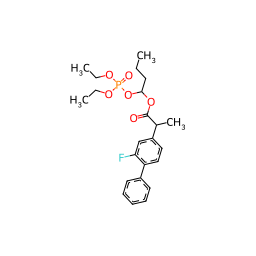 CCCC(OC(=O)C(C)c1ccc(-c2ccccc2)c(F)c1)OP(=O)(OCC)OCC